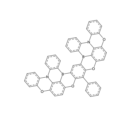 c1ccc(-c2c3c(cc4c2Oc2ccc5c6c2B4c2ccccc2N6c2ccccc2O5)B2c4ccccc4N4c5ccccc5Oc5ccc(c2c54)O3)cc1